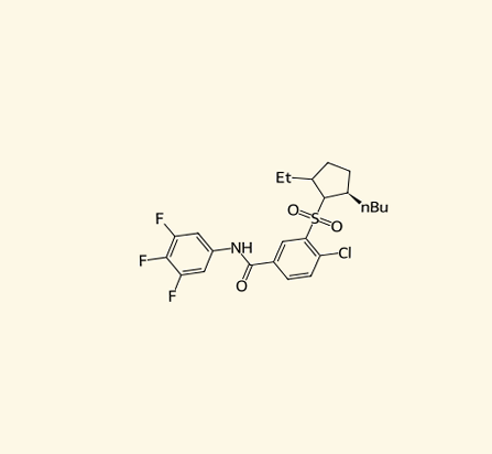 CCCC[C@@H]1CCC(CC)C1S(=O)(=O)c1cc(C(=O)Nc2cc(F)c(F)c(F)c2)ccc1Cl